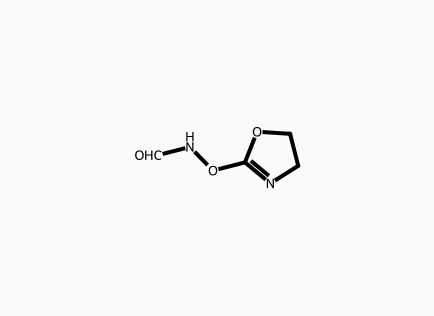 O=CNOC1=NCCO1